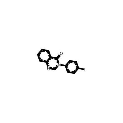 O=c1c2ccccc2ncn1-c1ccc(I)cc1